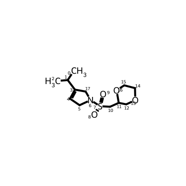 CC(C)C1=CCN(S(=O)(=O)CC2COCCO2)C1